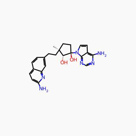 C[C@]1(CCc2ccc3ccc(N)nc3c2)CC[C@](O)(n2ccc3c(N)ncnc32)[C@@H]1O